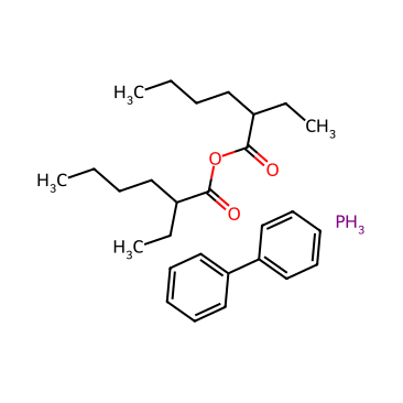 CCCCC(CC)C(=O)OC(=O)C(CC)CCCC.P.c1ccc(-c2ccccc2)cc1